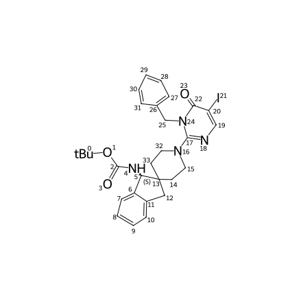 CC(C)(C)OC(=O)N[C@@H]1c2ccccc2CC12CCN(c1ncc(I)c(=O)n1Cc1ccccc1)CC2